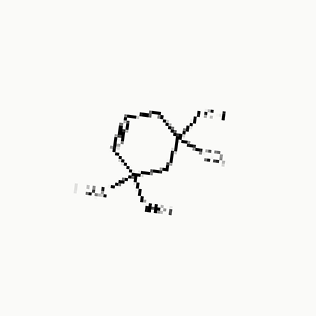 CCCCCCCCCC1(C(=O)O)C=CCC(CCCCCCCC)(C(=O)O)C1